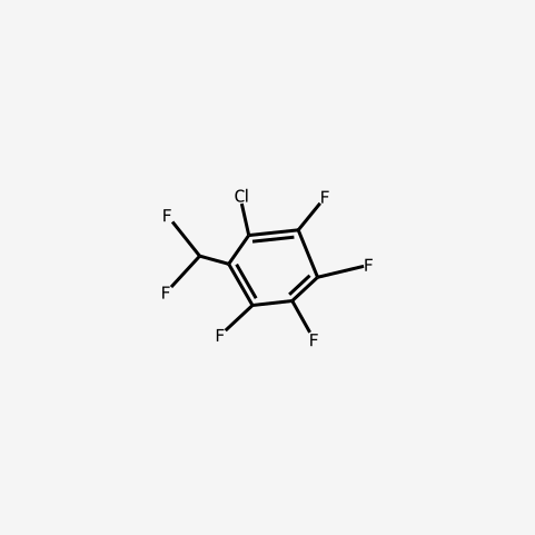 Fc1c(F)c(F)c(C(F)F)c(Cl)c1F